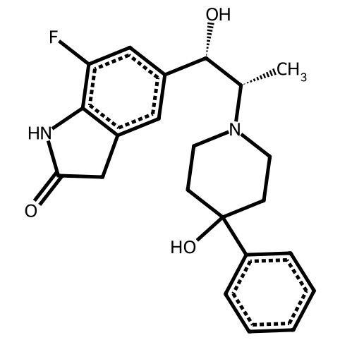 C[C@@H]([C@@H](O)c1cc(F)c2c(c1)CC(=O)N2)N1CCC(O)(c2ccccc2)CC1